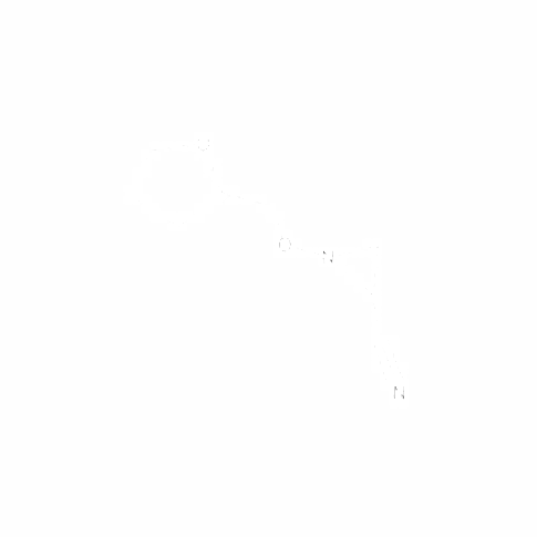 N#CC1CN1OCC1CCCO1